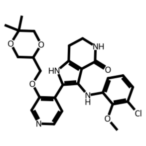 COc1c(Cl)cccc1Nc1c(-c2ccncc2OCC2COC(C)(C)CO2)[nH]c2c1C(=O)NCC2